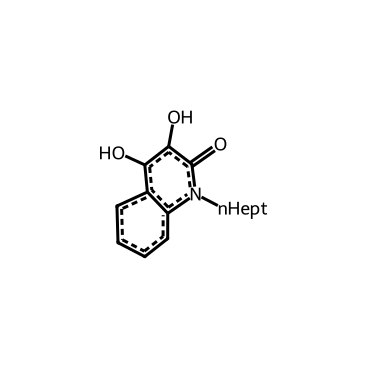 CCCCCCCn1c(=O)c(O)c(O)c2ccccc21